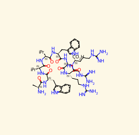 CC(C)[C@H](NC(=O)[C@H](Cc1c[nH]c2ccccc12)NC(=O)[C@H](C)N)C(=O)N[C@H](C(=O)N[C@@H](Cc1c[nH]c2ccccc12)C(=O)N[C@@H](CCCNC(=N)N)C(=O)N[C@@H](CCCNC(=N)N)C(=O)N[C@@H](CCCNC(=N)N)C(=O)O)C(C)C